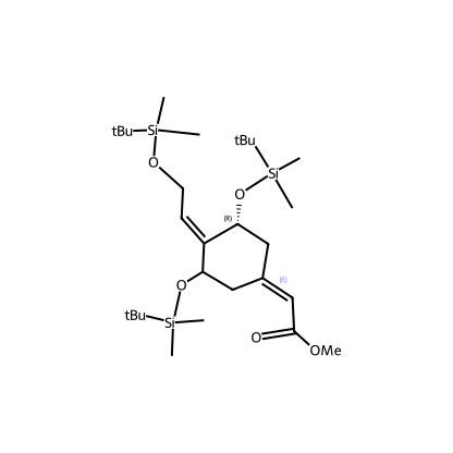 COC(=O)/C=C1\CC(O[Si](C)(C)C(C)(C)C)C(=CCO[Si](C)(C)C(C)(C)C)[C@H](O[Si](C)(C)C(C)(C)C)C1